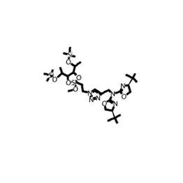 CO[Si]1(CCn2cc(CN(C3=N[C@@H](C(C)(C)C)CO3)C3=N[C@@H](C(C)(C)C)CO3)nn2)OC(C(C)O[Si](C)(C)C)C(C(C)O[Si](C)(C)C)O1